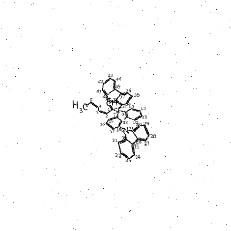 C=C(/C=C\C=C/C)[Si](c1ccccc1)(c1cccc(-n2c3ccccc3c3ccccc32)c1)c1cccc2c1sc1ccccc12